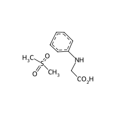 CS(C)(=O)=O.O=C(O)CNc1ccccc1